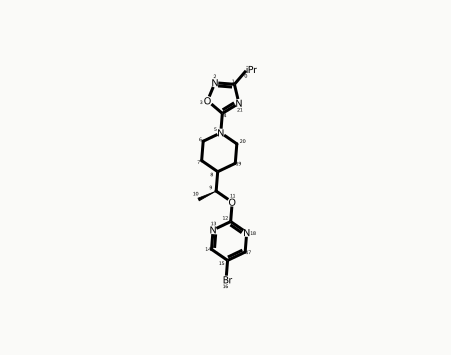 CC(C)c1noc(N2CCC([C@H](C)Oc3ncc(Br)cn3)CC2)n1